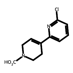 O=C(O)N1CC=C(c2cccc(Cl)n2)CC1